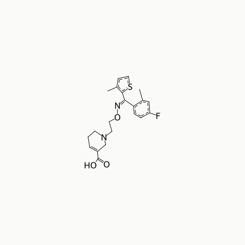 Cc1cc(F)ccc1/C(=N\OCCN1CCC=C(C(=O)O)C1)c1sccc1C